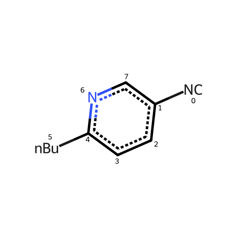 [C-]#[N+]c1ccc(CCCC)nc1